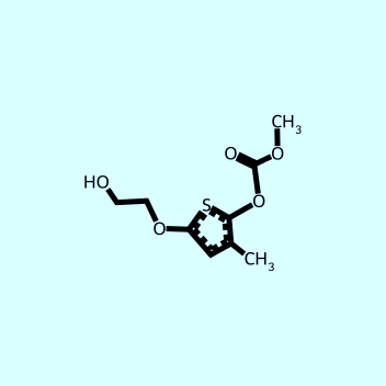 COC(=O)Oc1sc(OCCO)cc1C